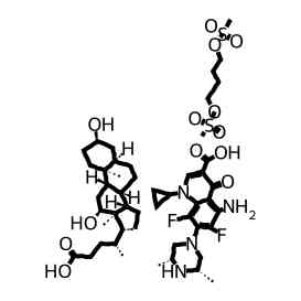 CS(=O)(=O)OCCCCOS(C)(=O)=O.C[C@@H]1CN(c2c(F)c(N)c3c(=O)c(C(=O)O)cn(C4CC4)c3c2F)C[C@H](C)N1.C[C@H](CCC(=O)O)[C@H]1CC[C@H]2[C@@H]3CC[C@@H]4C[C@H](O)CC[C@]4(C)[C@H]3C[C@H](O)[C@]12C